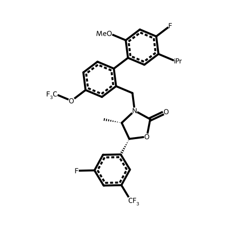 COc1cc(F)c(C(C)C)cc1-c1ccc(OC(F)(F)F)cc1CN1C(=O)O[C@H](c2cc(F)cc(C(F)(F)F)c2)[C@@H]1C